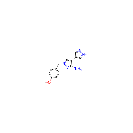 COc1ccc(Cn2cc(-c3cnn(C)c3)c(N)n2)cc1